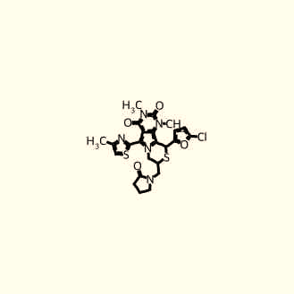 Cc1csc(-c2c3c(=O)n(C)c(=O)n(C)c3c3n2CC(CN2CCCC2=O)SC3c2ccc(Cl)o2)n1